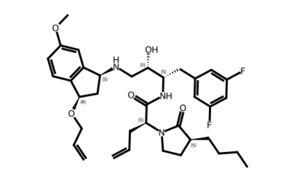 C=CCO[C@@H]1C[C@H](NC[C@H](O)[C@H](Cc2cc(F)cc(F)c2)NC(=O)[C@H](CC=C)N2CC[C@H](CCCC)C2=O)c2cc(OC)ccc21